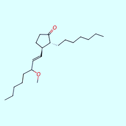 CCCCCCC[C@H]1C(=O)CC[C@@H]1C=CC(CCCCC)OC